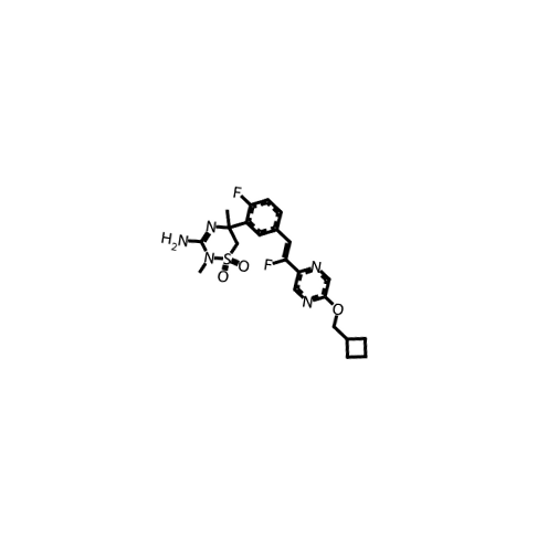 CN1C(N)=NC(C)(c2cc(C=C(F)c3cnc(OCC4CCC4)cn3)ccc2F)CS1(=O)=O